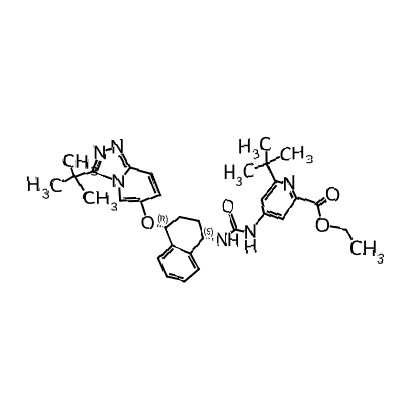 CCOC(=O)c1cc(NC(=O)N[C@H]2CC[C@@H](Oc3ccc4nnc(C(C)(C)C)n4c3)c3ccccc32)cc(C(C)(C)C)n1